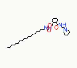 CCCCCCCCCCCCCCCCCCNC(=O)OCC1CC=CCC1C(=O)NCCN1CCCCC1